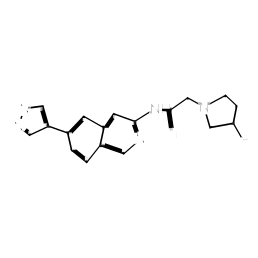 O=C(CN1CCC(F)C1)Nc1cc2cc(-c3cn[nH]c3)ccc2cn1